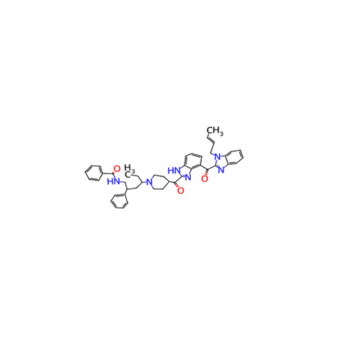 CC=CCn1c(C(=O)c2cccc3[nH]c(C(=O)C4CCN(C(CC)CC(CNC(=O)c5ccccc5)c5ccccc5)CC4)nc23)nc2ccccc21